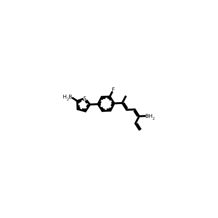 B/C(C=C)=C/C=C(\C)c1ccc(-c2ccc(B)s2)cc1F